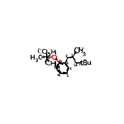 CC(Cc1ccccc1OC(C)(C)C(=O)O)CC(C)(C)C